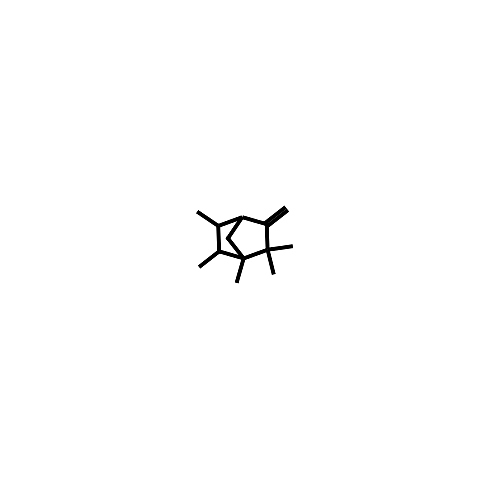 C=C1[C]2CC(C)(C(C)C2C)C1(C)C